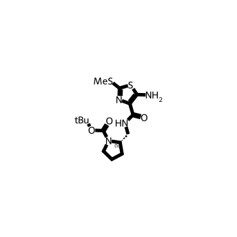 CSc1nc(C(=O)NC[C@@H]2CCCN2C(=O)OC(C)(C)C)c(N)s1